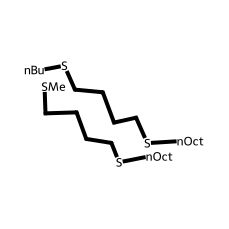 CCCCCCCCSCCCCSC.CCCCCCCCSCCCCSCCCC